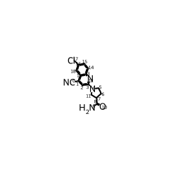 N#Cc1cc(N2CCC(C(N)=O)C2)nc2ccc(Cl)cc12